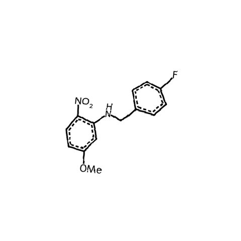 COc1ccc([N+](=O)[O-])c(NCc2ccc(F)cc2)c1